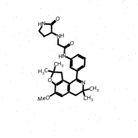 COc1cc2c(c3c1OC(C)(C)C3)C(c1cccc(NC(=O)CNC3CCNC3=O)c1)=NC(C)(C)C2